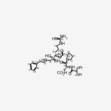 CCCC(CCC)C(=O)N[C@@H](CC(=O)O)C(=O)N1CCC[C@H]1C(=O)N[C@@H](CCCNC(=N)N)[Si](O)(O)CNCCc1ccccc1